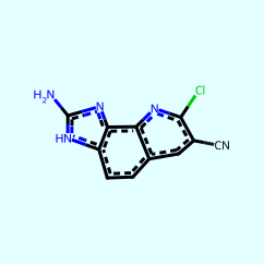 N#Cc1cc2ccc3[nH]c(N)nc3c2nc1Cl